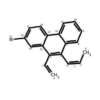 C=Cc1c(/C=C\C)c2ccccc2c2ccc(Br)cc12